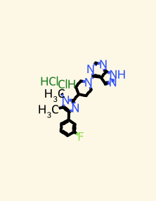 Cc1c(-c2cccc(F)c2)nc(C2CCN(c3ncnc4[nH]ncc34)CC2)n1C.Cl.Cl